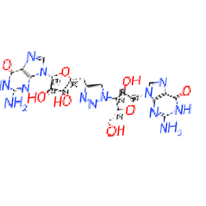 Nc1nc2c(ncn2[C@@H]2O[C@H](Cc3cn([C@H]4[C@@H](O)[C@H](n5cnc6c(=O)[nH]c(N)nc65)O[C@@H]4CO)nn3)[C@@H](O)[C@H]2O)c(=O)[nH]1